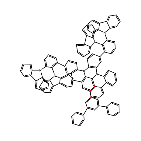 c1ccc(-c2cc(-c3ccccc3)cc(-c3cc4c5c(c3)N(c3ccccc3-c3ccccc3)c3cc(-c6cccc(-n7c8ccccc8c8ccccc87)c6-n6c7ccccc7c7ccccc76)ccc3B5c3ccc(-c5cccc(-n6c7ccccc7c7ccccc76)c5-n5c6ccccc6c6ccccc65)cc3S4)c2)cc1